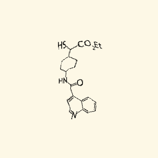 CCOC(=O)C(S)C1CCC(NC(=O)c2ccnc3ccccc23)CC1